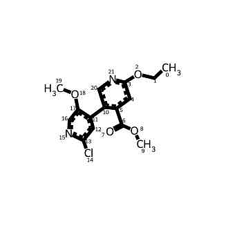 CCOc1cc(C(=O)OC)c(-c2cc(Cl)ncc2OC)cn1